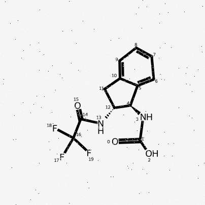 O=C(O)N[C@@H]1c2ccccc2C[C@H]1NC(=O)C(F)(F)F